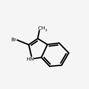 Cc1c(Br)[nH]c2ccccc12